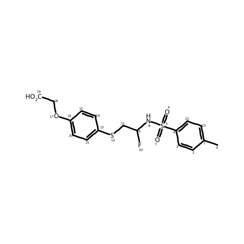 Cc1ccc(S(=O)(=O)NC(F)CSc2ccc(OCC(=O)O)cc2)cc1